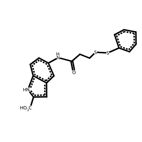 O=C(CCSSc1ccccc1)Nc1ccc2[nH]c(C(=O)O)cc2c1